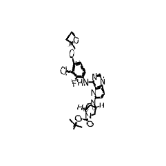 CC(C)(C)OC(=O)N1C[C@@H]2C[C@H]1CN2c1ccc2ncnc(Nc3ccc(OC[C@@]4(C)CCCO4)c(Cl)c3F)c2n1